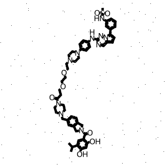 CC(C)c1cc(C(=O)N2Cc3ccc(CN4CCN(C(=O)CCOCCOCCN5CCN(c6ccc(Nc7ncc8ccc(-c9cccc(NS(C)(=O)=O)c9)n8n7)cc6)CC5)CC4)cc3C2)c(O)cc1O